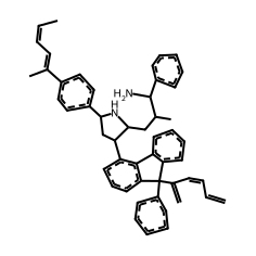 C=C/C=C\C(=C)C1(c2ccccc2)c2ccccc2-c2c(C3CC(c4ccc(/C(C)=C/C=C\C)cc4)NC3CC(C)C(N)c3ccccc3)cccc21